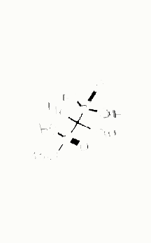 CCCCC(O)(P(=O)(O)O)P(=O)(O)OC